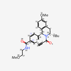 C#CC(=O)N1[C@@H](CCCC)Cc2cc(OC)ccc2[C@@H]1C(=C)/C=C\C(=C/C)C(=O)NCCOC